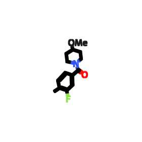 COC1CCN(C(=O)c2ccc(C)c(F)c2)CC1